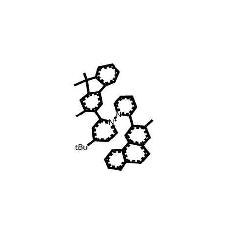 Cc1cc2c(cc1-c1cc(C(C)(C)C)cc[n+]1-[n+]1ccccc1-c1cc3c(ccc4ccccc43)cc1C)-c1ccccc1C2(C)C